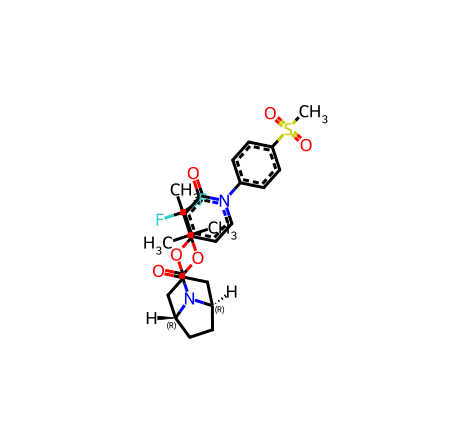 CC(F)(F)C(C)(C)OC(=O)N1[C@@H]2CC[C@@H]1CC(Oc1ccn(-c3ccc(S(C)(=O)=O)cc3)c(=O)c1)C2